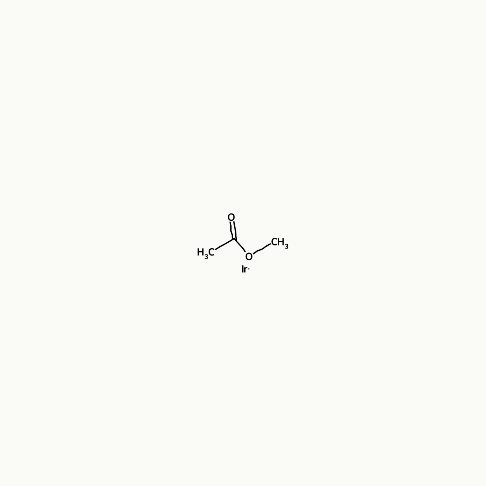 COC(C)=O.[Ir]